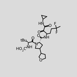 CC(F)(F)CCC(NC(=O)[C@@H]1CC(C2CCOC2)CN1C(=O)[C@@H](NC(=O)O)C(C)(C)C)C(=O)C(=O)NC1CC1